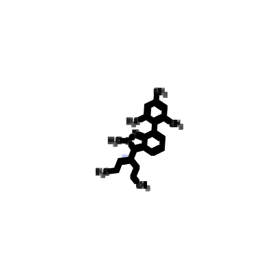 CC/C=C(\CCC)c1c2cccc(-c3c(C)cc(C)cc3C)c2nn1C